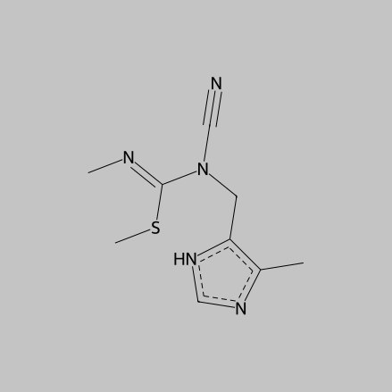 CN=C(SC)N(C#N)Cc1[nH]cnc1C